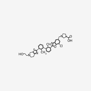 Cc1c(-c2nc3cc(CN4CC[C@@H](C(=O)O)C4)cc(Cl)c3o2)cccc1-c1cccc(-c2nc3c(s2)CN(CCO)CC3)c1C